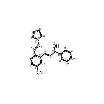 N#Cc1ccc(N=Nn2cccc2)c(C=CC(O)c2ccccc2)c1